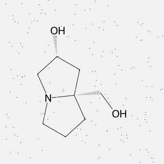 OC[C@]12CCCN1C[C@H](O)C2